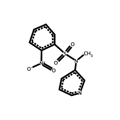 CN(c1cccnc1)S(=O)(=O)c1ccccc1[N+](=O)[O-]